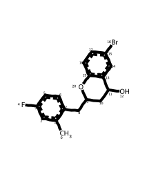 Cc1cc(F)ccc1CC1CC(O)c2cc(Br)ccc2O1